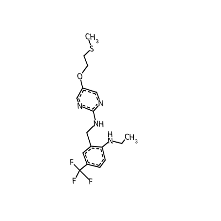 CCNc1ccc(C(F)(F)F)cc1CNc1ncc(OCCSC)cn1